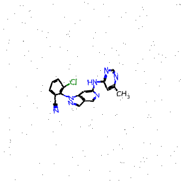 Cc1cc(Nc2cc3c(cn2)cnn3-c2c(Cl)cccc2C#N)ncn1